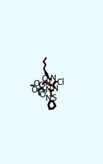 CCCCC#Cc1nc(Cl)c2nc(-c3nc4ccccc4s3)n([C@@H]3OC[C@@H](OC(C)=O)[C@H]3OC(C)=O)c2n1